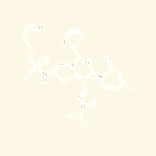 O=C(O)CCCS(=O)(=O)N[C@H]1CC2=C(c3ccn(C(F)F)n3)[C@H](c3ccc(F)cc3Cl)N=C(c3nccs3)N2C1